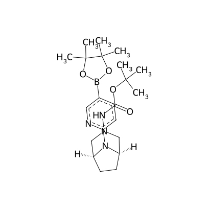 CC(C)(C)OC(=O)NN1C[C@H]2CC[C@@H](C1)N2c1ccc(B2OC(C)(C)C(C)(C)O2)cn1